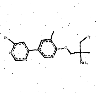 CCc1cc(-c2cnc(OC[C@@](C)(N)CC(C)C)c(C)c2)ncn1